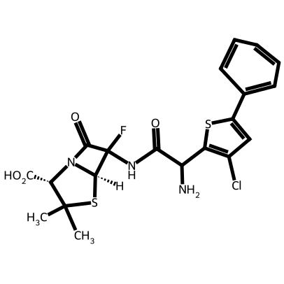 CC1(C)S[C@H]2N(C(=O)C2(F)NC(=O)C(N)c2sc(-c3ccccc3)cc2Cl)[C@H]1C(=O)O